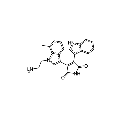 Cc1cccc2c(C3=C(c4c[nH]c5ccccc45)C(=O)NC3=O)cn(CCN)c12